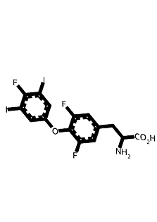 NC(Cc1cc(F)c(Oc2cc(I)c(F)c(I)c2)c(F)c1)C(=O)O